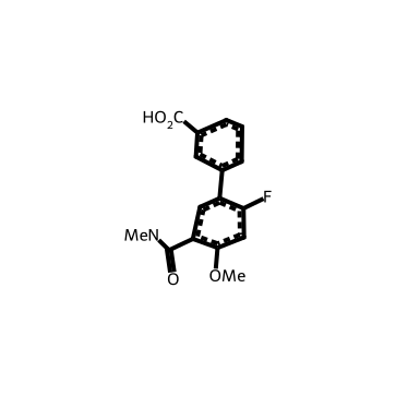 CNC(=O)c1cc(-c2cccc(C(=O)O)c2)c(F)cc1OC